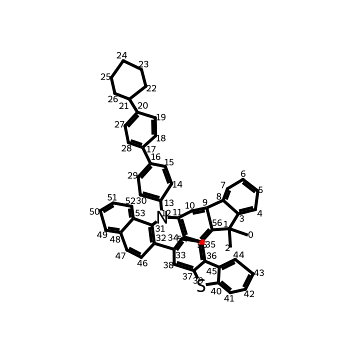 CC1(C)c2ccccc2-c2cc(N(c3ccc(-c4ccc(C5CCCCC5)cc4)cc3)c3c(-c4ccc5c(c4)sc4ccccc45)ccc4ccccc34)ccc21